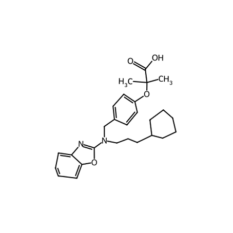 CC(C)(Oc1ccc(CN(CCCC2CCCCC2)c2nc3ccccc3o2)cc1)C(=O)O